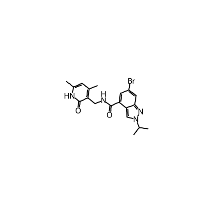 Cc1cc(C)c(CNC(=O)c2cc(Br)cc3nn(C(C)C)cc23)c(=O)[nH]1